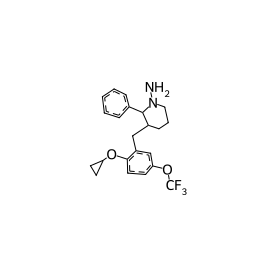 NN1CCCC(Cc2cc(OC(F)(F)F)ccc2OC2CC2)C1c1ccccc1